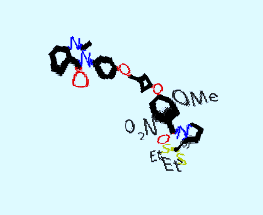 CCSC(SCC)[C@@H]1CCCN1C(=O)c1cc(OC)c(OC2CC(COc3ccc(-n4c(C)nc5ccccc5c4=O)cc3)C2)cc1[N+](=O)[O-]